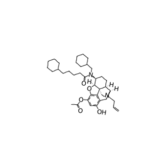 C=CCN1CC[C@]23c4c5c(O)cc(OC(C)=O)c4O[C@H]2[C@@H](N(CC2CCCCC2)C(=O)CCCCC2CCCCC2)CC[C@H]3[C@H]1C5